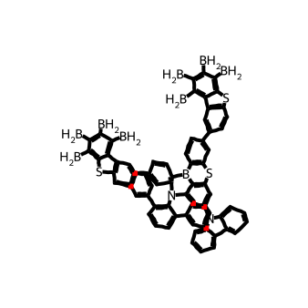 Bc1c(B)c(B)c2c(sc3ccc(-c4ccc5c(c4)Sc4cc(-n6c7ccccc7c7ccccc76)cc6c4B5c4ccc(-c5ccc7sc8c(B)c(B)c(B)c(B)c8c7c5)cc4N6c4c(-c5ccccc5)cccc4-c4ccccc4)cc32)c1B